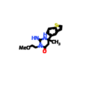 COCCN1C(=N)NC(C)(c2ccc3sccc3c2)CC1=O